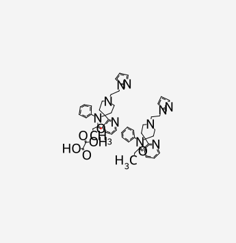 CCC(=O)N(c1ccccc1)C1(c2ccccn2)CCN(CCn2cccn2)CC1.CCC(=O)N(c1ccccc1)C1(c2ccccn2)CCN(CCn2cccn2)CC1.O=C(O)C(=O)O